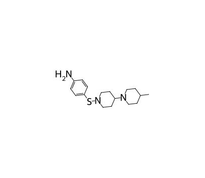 CC1CCN(C2CCN(Sc3ccc(N)cc3)CC2)CC1